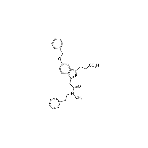 CN(CCc1ccccc1)C(=O)Cn1cc(CCC(=O)O)c2cc(OCc3ccccc3)ccc21